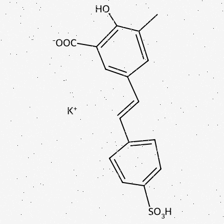 Cc1cc(C=Cc2ccc(S(=O)(=O)O)cc2)cc(C(=O)[O-])c1O.[K+]